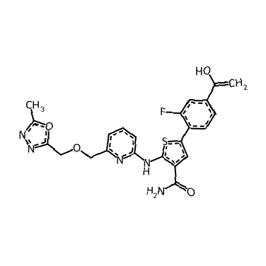 C=C(O)c1ccc(-c2cc(C(N)=O)c(Nc3cccc(COCc4nnc(C)o4)n3)s2)c(F)c1